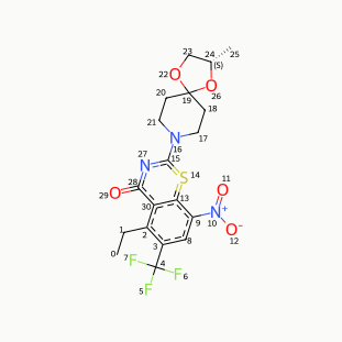 CCc1c(C(F)(F)F)cc([N+](=O)[O-])c2sc(N3CCC4(CC3)OC[C@H](C)O4)nc(=O)c12